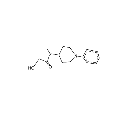 CN(C(=O)CO)C1CCN(c2ccccc2)CC1